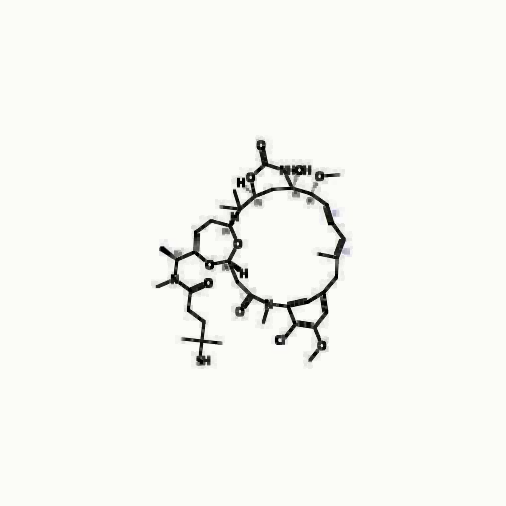 COc1cc2cc(c1Cl)N(C)C(=O)C[C@@H]1OC([C@H](C)N(C)C(=O)CCC(C)(C)S)=CC[C@@H](O1)C(C)(C)[C@@H]1C[C@@](O)(NC(=O)O1)[C@H](OC)/C=C/C=C(\C)C2